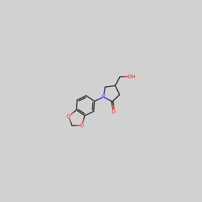 O=C1CC(CO)CN1c1ccc2c(c1)OCO2